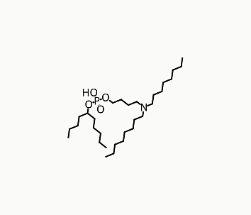 CCCCCCCCN(CCCCCCCC)CCCCOP(=O)(O)OC(CCCC)CCCCC